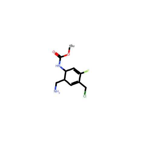 CC(C)(C)OC(=O)NC1C=C(F)C(CCl)=CC1CN